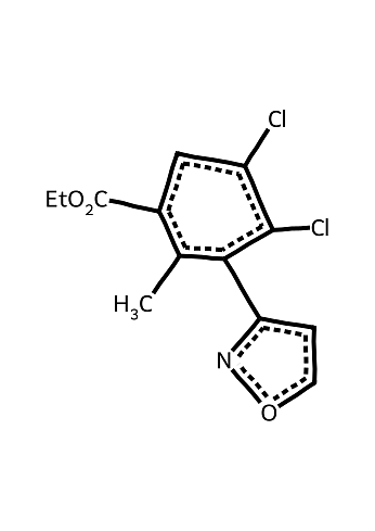 CCOC(=O)c1cc(Cl)c(Cl)c(-c2ccon2)c1C